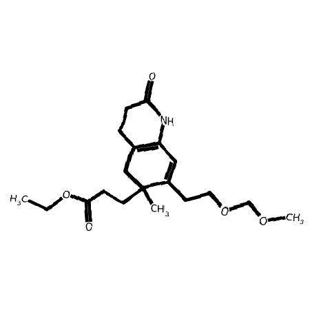 CCOC(=O)CCC1(C)CC2=C(C=C1CCOCOC)NC(=O)CC2